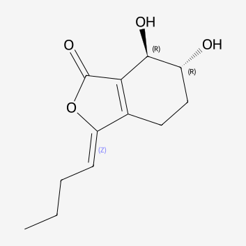 CCC/C=C1\OC(=O)C2=C1CC[C@@H](O)[C@@H]2O